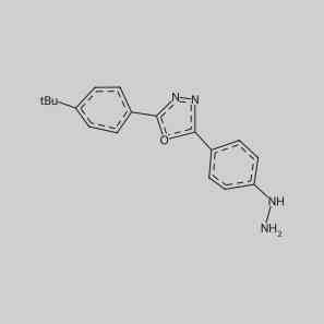 CC(C)(C)c1ccc(-c2nnc(-c3ccc(NN)cc3)o2)cc1